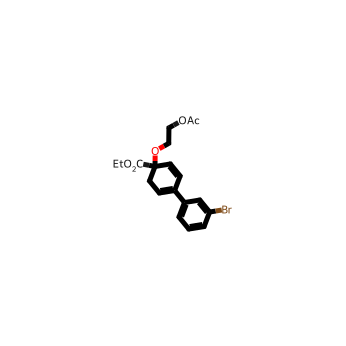 CCOC(=O)C1(OCCOC(C)=O)C=CC(c2cccc(Br)c2)=CC1